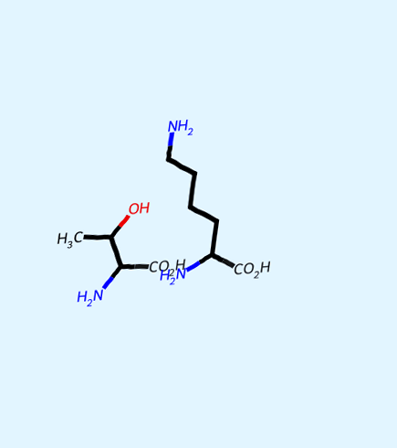 CC(O)C(N)C(=O)O.NCCCCC(N)C(=O)O